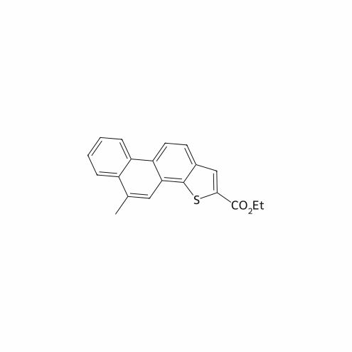 CCOC(=O)c1cc2ccc3c4ccccc4c(C)cc3c2s1